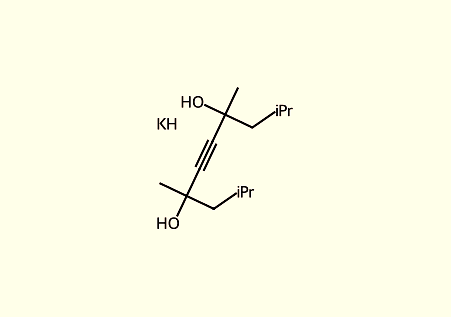 CC(C)CC(C)(O)C#CC(C)(O)CC(C)C.[KH]